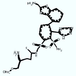 Nc1nc2c(-c3ccc(S(=O)(=O)NC(F)CC(N)COC=O)c(S(N)(=O)=O)c3-c3nnn[nH]3)cccc2s1